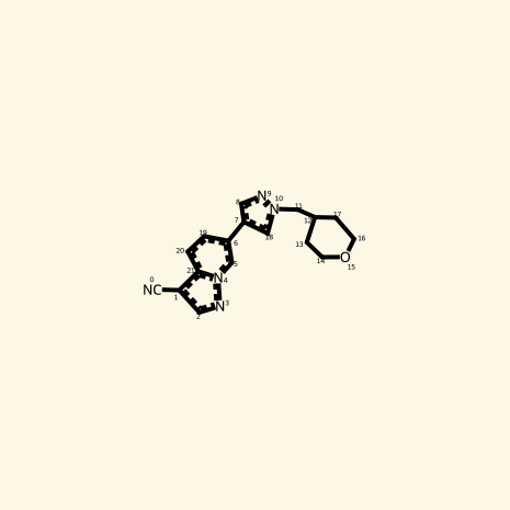 N#Cc1cnn2cc(-c3cnn(CC4CCOCC4)c3)ccc12